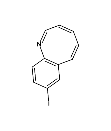 Ic1ccc2c(c1)\C=C/C=C\C=N/2